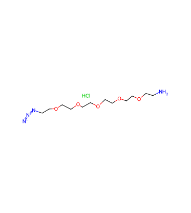 Cl.[N-]=[N+]=NCCOCCOCCOCCOCCOCCN